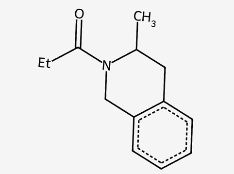 CCC(=O)N1Cc2ccccc2CC1C